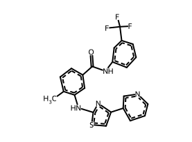 Cc1ccc(C(=O)Nc2cccc(C(F)(F)F)c2)cc1Nc1nc(-c2cccnc2)cs1